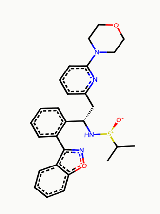 CC(C)[S@+]([O-])N[C@@H](Cc1cccc(N2CCOCC2)n1)c1ccccc1-c1noc2ccccc12